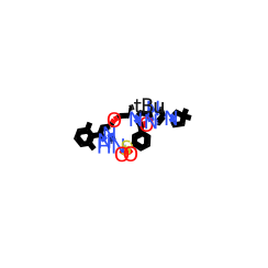 Cc1cccc(C)c1-c1cc2nc(n1)NS(=O)(=O)c1cccc(c1)C(=O)N(Cc1ncc(N3CCC(C)(C)C3)cn1)[C@H](CC(C)(C)C)CO2